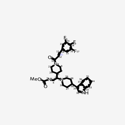 COC(=O)NCC(C1CCN(C(=O)/C=C/c2cc(F)c(F)c(F)c2)CC1)N1CCC(c2c[nH]c3ccccc23)CC1